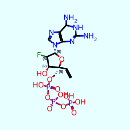 C=C[C@]1(COP(=O)(O)OP(=O)(O)OP(=O)(O)O)O[C@@H](n2cnc3c2N=C(N)NC3N)[C@H](F)[C@@H]1O